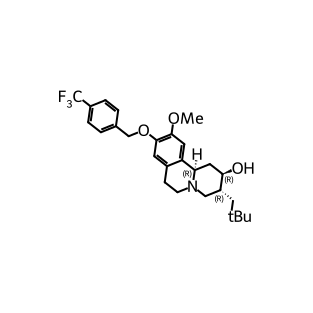 COc1cc2c(cc1OCc1ccc(C(F)(F)F)cc1)CCN1C[C@@H](CC(C)(C)C)[C@H](O)C[C@H]21